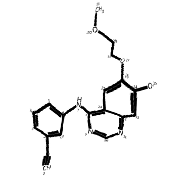 C#Cc1cccc(Nc2ncnc3cc([O])c(OCCOC)cc23)c1